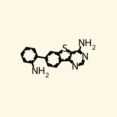 Nc1ccccc1-c1ccc2c(c1)sc1c(N)ncnc12